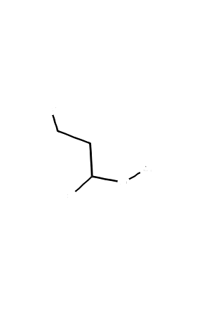 CC(=O)OC(C)CCBr